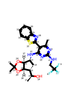 Cc1nc(NCC(F)(F)F)nc(N[C@@H]2C[C@H]([C@H](C)O)[C@H]3OC(C)(C)O[C@H]32)c1-c1nc2ccccc2s1